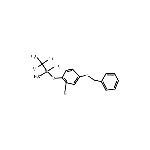 CC(C)(C)[Si](C)(C)Oc1ccc(OCc2ccccc2)cc1Br